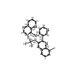 Cc1cccc2cc([C@@H](Nc3ncnc4cccnc34)C(F)(F)F)c(-c3cccnc3)nc12